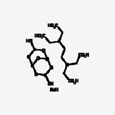 O=C(O)CN(CCN(CC(=O)O)CC(=O)O)CC(=O)O.OB1OB2OB(O)OB(O1)O2.[NaH]